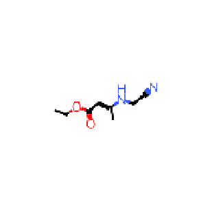 CCOC(=O)/C=C(\C)NCC#N